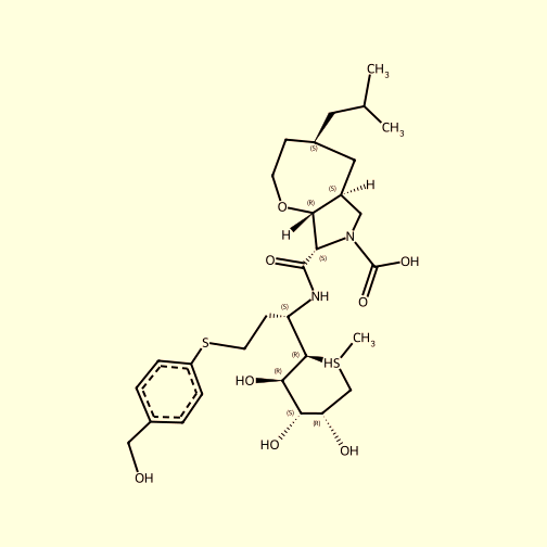 CC(C)C[C@@H]1CCO[C@@H]2[C@@H](C1)CN(C(=O)O)[C@@H]2C(=O)N[C@@H](CCSc1ccc(CO)cc1)[C@@H]1[C@H](O)[C@@H](O)[C@@H](O)C[SH]1C